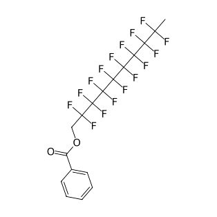 CC(F)(F)C(F)(F)C(F)(F)C(F)(F)C(F)(F)C(F)(F)C(F)(F)C(F)(F)COC(=O)c1ccccc1